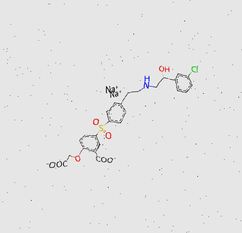 O=C([O-])COc1ccc(S(=O)(=O)c2ccc(CCNC[C@H](O)c3cccc(Cl)c3)cc2)cc1C(=O)[O-].[Na+].[Na+]